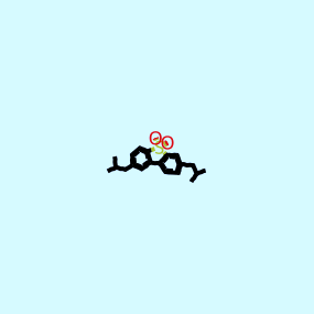 CC(C)Cc1ccc2c(c1)-c1ccc(CC(C)C)cc1S2(=O)=O